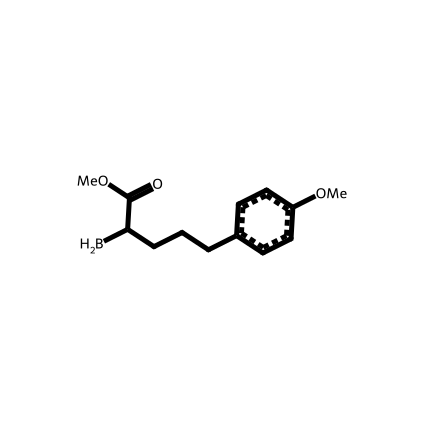 BC(CCCc1ccc(OC)cc1)C(=O)OC